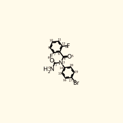 NC(=O)N(C(=O)c1c(F)cccc1F)c1ccc(Br)cc1